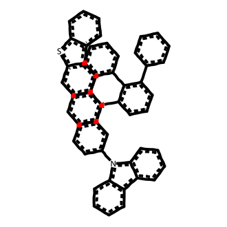 c1ccc(-c2ccccc2-c2c(-c3ccccc3)cccc2N(c2cccc(-n3c4ccccc4c4ccccc43)c2)c2ccc3sc4ccccc4c3c2)cc1